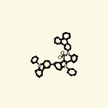 O=S1(=O)c2c(n(-c3ccccc3)c3ccc(-c4ccc5c(c4)c4ccccc4n5-c4ccccc4)cc23)-c2ccccc2N1c1ccc2c3ccccc3c3ccccc3c2c1